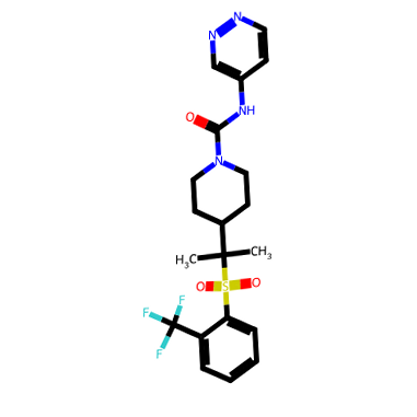 CC(C)(C1CCN(C(=O)Nc2ccnnc2)CC1)S(=O)(=O)c1ccccc1C(F)(F)F